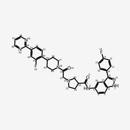 O=C(Nc1ccc2[nH]nc(-c3ccc(F)cc3)c2c1)C1CCN(CC(=O)N2CCC(c3ccc(-c4ncccn4)cc3F)CC2)C1